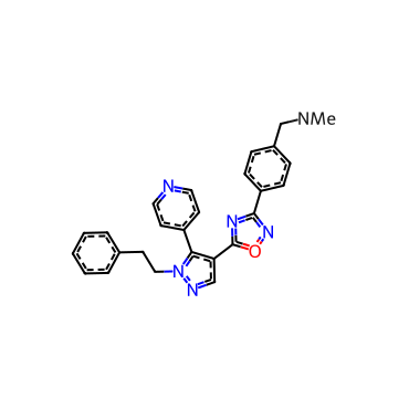 CNCc1ccc(-c2noc(-c3cnn(CCc4ccccc4)c3-c3ccncc3)n2)cc1